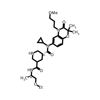 CCOC[C@@H](C)NC(=O)C1CNC[C@H](C(=O)N(c2ccc3c(c2)N(CCCOC)C(=O)C(C)(C)O3)C2CC2)C1